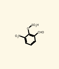 O=Cc1cccc([N+](=O)[O-])c1OS(=O)(=O)O